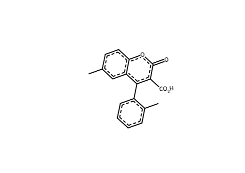 Cc1ccc2oc(=O)c(C(=O)O)c(-c3ccccc3C)c2c1